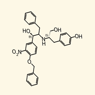 O=[N+]([O-])c1cc([C@@H](O)C(Cc2ccccc2)N[C@H](CO)Cc2ccc(O)cc2)ccc1OCc1ccccc1